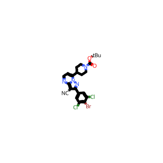 CC(C)(C)OC(=O)N1CCC(c2ccnc3c(C#N)c(-c4cc(Cl)c(Br)c(Cl)c4)nn23)CC1